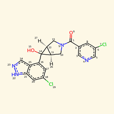 O=C(c1cncc(Cl)c1)N1C[C@@H]2[C@H](C1)C2(O)c1cc(Cl)cc2[nH]ncc12